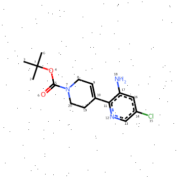 CC(C)(C)OC(=O)N1CC=C(c2ncc(Cl)cc2N)CC1